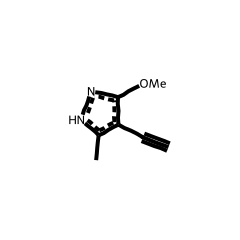 C#Cc1c(OC)n[nH]c1C